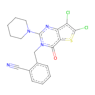 N#Cc1ccccc1Cn1c(N2CCCCC2)nc2c(Cl)c(Cl)sc2c1=O